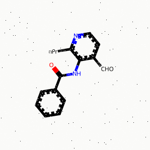 CCCc1nccc(C=O)c1NC(=O)c1ccccc1